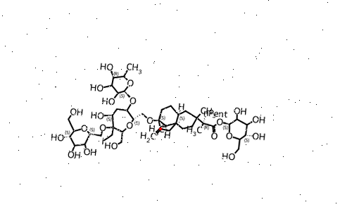 C=C1CC23CCC(C)([C@@](C)(CCCCC)C(=O)O[C@@H]4OC(CO)[C@@H](O)C(O)C4O)C[C@@H]2CC[C@]1(OC[C@@H]1OC(CO)C(CI)(OC[C@@H]2OC(CO)[C@@H](O)C(O)C2O)[C@@H](O)CC1O[C@@H]1OC(C)[C@H](O)C(O)C1O)[C@@H]3C